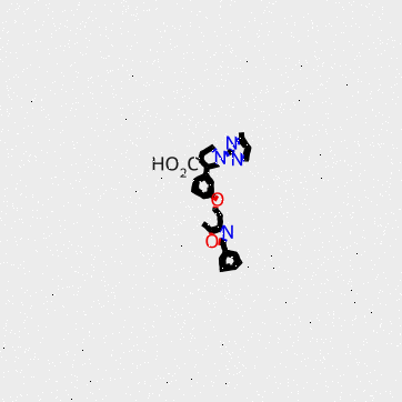 Cc1ccnc(N2CCC(C(=O)O)C(c3cccc(OCCc4nc(-c5ccccc5)oc4C)c3)C2)n1